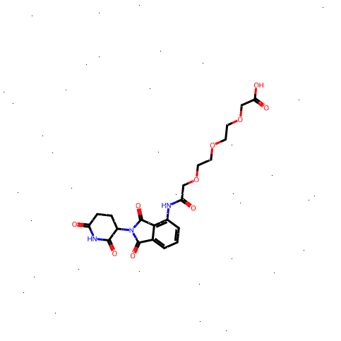 O=C(O)COCCOCCOCC(=O)Nc1cccc2c1C(=O)N(C1CCC(=O)NC1=O)C2=O